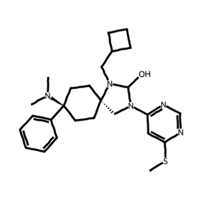 CSc1cc(N2C[C@]3(CC[C@](c4ccccc4)(N(C)C)CC3)N(CC3CCC3)C2O)ncn1